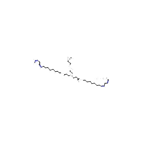 CCCCC/C=C\C/C=C\CCCCCCCCOC(=O)CCN(CCSSCCN(C)C)CCC(=O)OCCCCCCCC/C=C\C/C=C\CCCCC